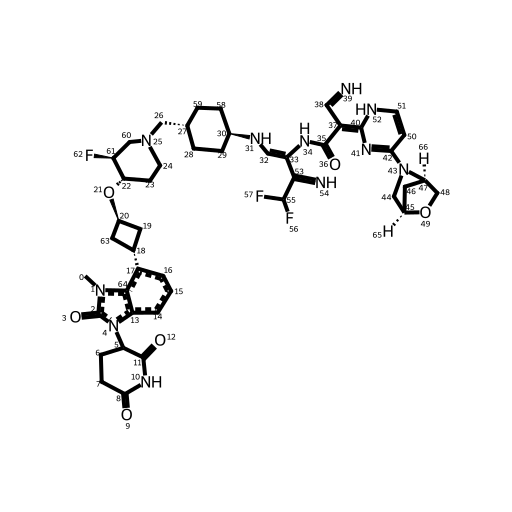 Cn1c(=O)n(C2CCC(=O)NC2=O)c2cccc([C@H]3C[C@H](O[C@H]4CCN(C[C@H]5CC[C@H](N/C=C(\NC(=O)/C(C=N)=C6\N=C(N7C[C@H]8C[C@@H]7CO8)C=CN6)C(=N)C(F)F)CC5)C[C@@H]4F)C3)c21